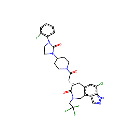 O=C(C[C@@H]1Cc2cc(Cl)c3[nH]ncc3c2CN(CC(F)(F)F)C1=O)N1CCC(N2CCN(c3ccccc3F)C2=O)CC1